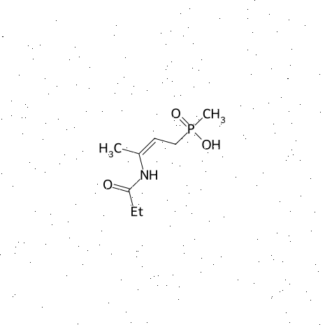 CCC(=O)N/C(C)=C\CP(C)(=O)O